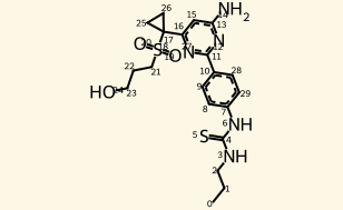 CCCNC(=S)Nc1ccc(-c2nc(N)cc(C3(S(=O)(=O)CCCO)CC3)n2)cc1